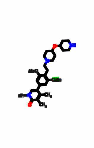 CCCn1cc(-c2cc(OC)c(CCN3CCC(OC4CCNCC4)CC3)c(OC)c2)c(C)c(C)c1=O.Cl